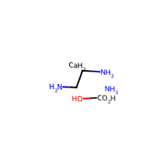 N.NCCN.O=C(O)O.[CaH2]